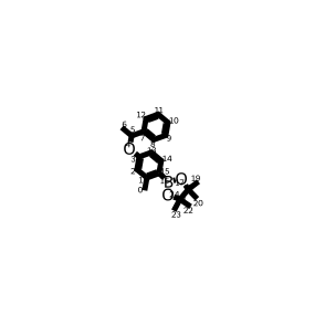 Cc1cc(OC(C)c2ccccc2)ccc1B1OC(C)(C)C(C)(C)O1